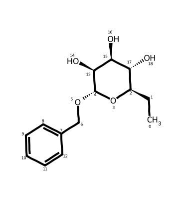 CC[C@H]1O[C@H](OCc2ccccc2)[C@@H](O)[C@@H](O)[C@@H]1O